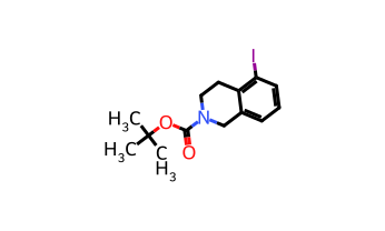 CC(C)(C)OC(=O)N1CCc2c(I)cccc2C1